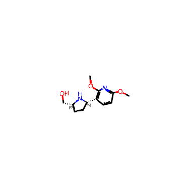 COc1ccc([C@@H]2CC[C@H](CO)N2)c(OC)n1